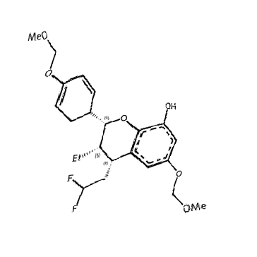 CC[C@H]1[C@@H](CC(F)F)c2cc(OCOC)cc(O)c2O[C@H]1C1C=CC(OCOC)=CC1